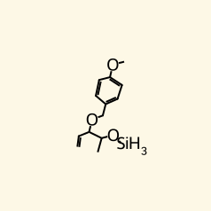 C=CC(OCc1ccc(OC)cc1)C(C)O[SiH3]